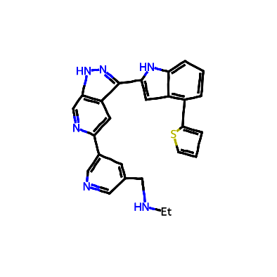 CCNCc1cncc(-c2cc3c(-c4cc5c(-c6cccs6)cccc5[nH]4)n[nH]c3cn2)c1